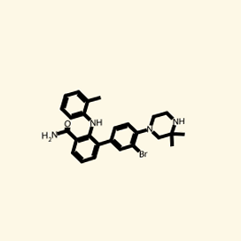 Cc1ccccc1Nc1c(C(N)=O)cccc1-c1ccc(N2CCNC(C)(C)C2)c(Br)c1